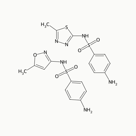 Cc1cc(NS(=O)(=O)c2ccc(N)cc2)no1.Cc1nnc(NS(=O)(=O)c2ccc(N)cc2)s1